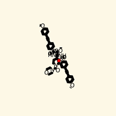 COC(=O)C(NS(=O)(=O)c1ccc(C#Cc2ccc(OC)cc2)cc1)(NS(=O)(=O)c1ccc(C#Cc2ccc(OC)cc2)cc1)C1CCN(C(=O)N2CCOCC2)CC1